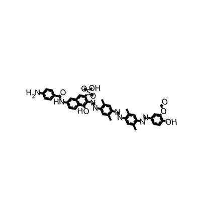 Cc1cc(N=Nc2cc(C)c(N=Nc3c(S(=O)(=O)O)cc4cc(NC(=O)c5ccc(N)cc5)ccc4c3O)cc2C)c(C)cc1N=Nc1ccc(O)c(OC=O)c1